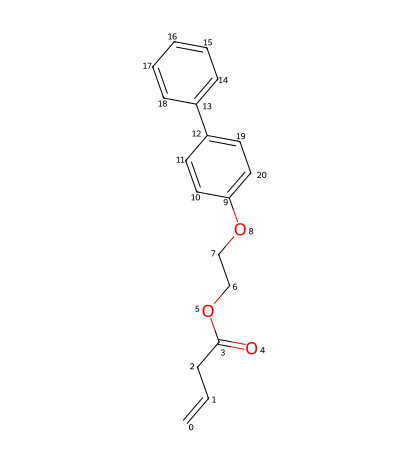 C=CCC(=O)OCCOc1ccc(-c2ccccc2)cc1